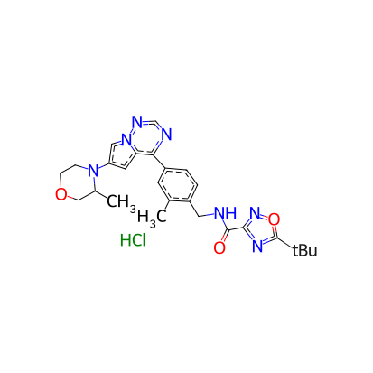 Cc1cc(-c2ncnn3cc(N4CCOCC4C)cc23)ccc1CNC(=O)c1noc(C(C)(C)C)n1.Cl